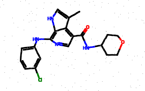 Cc1c[nH]c2c(Nc3cccc(Cl)c3)ncc(C(=O)NC3CCOCC3)c12